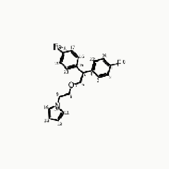 Fc1ccc(C(COCCn2cccc2)c2ccc(F)cc2)cc1